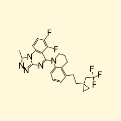 Cc1nnc2nc(N3CCCc4c(CCC5(CC(F)(F)F)CC5)cccc43)c3c(F)c(F)ccc3n12